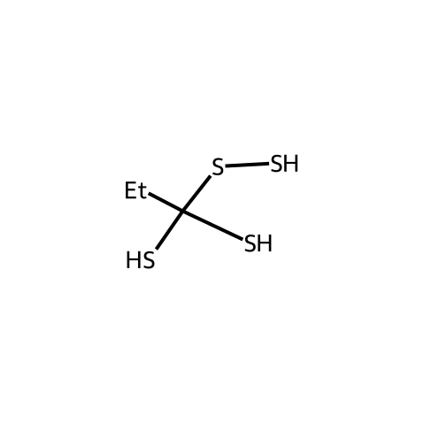 CCC(S)(S)SS